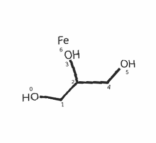 OCC(O)CO.[Fe]